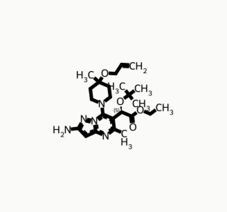 C=CCOC1(C)CCN(c2c([C@H](OC(C)(C)C)C(=O)OCC)c(C)nc3cc(N)nn23)CC1